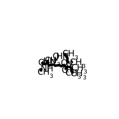 CCNC(=O)C(C)CC(CCCCC(OC)C(C(C)CC)N(C)C(=O)CNC)NC=O